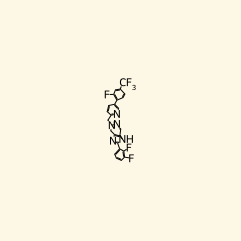 Fc1cc(C(F)(F)F)ccc1-c1ccc(CN2Cc3nc(-c4cccc(F)c4F)[nH]c3C=N2)nc1